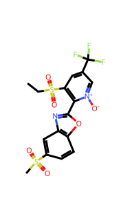 CCS(=O)(=O)c1cc(C(F)(F)F)c[n+]([O-])c1-c1nc2cc(S(C)(=O)=O)ccc2o1